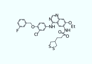 CCOc1cc2ncnc(Nc3ccc(OCc4cccc(F)c4)c(Cl)c3)c2cc1NS(=O)(=O)CCC1CSSC1